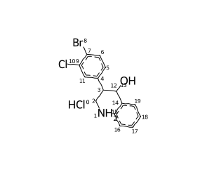 Cl.NCC(c1ccc(Br)c(Cl)c1)C(O)c1ccccc1